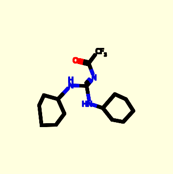 O=C(N=C(NC1CCCCC1)NC1CCCCC1)C(F)(F)F